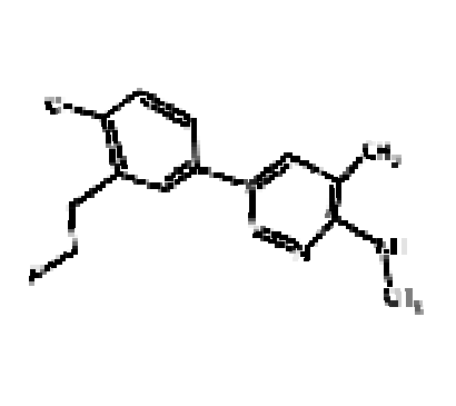 CNc1ncc(-c2ccc(Cl)c(CCF)c2)cc1C